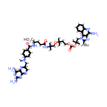 CCCCc1nc2c(N)nc3ccccc3c2n1CC(C)(C)OC(=O)OCCC(C)(C)OCC(C)(C)NC(=O)CCC(NC(=O)c1ccc(N(C)Cc2cnc3nc(N)nc(N)c3n2)cc1)C(=O)O